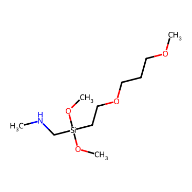 CNC[Si](CCOCCCOC)(OC)OC